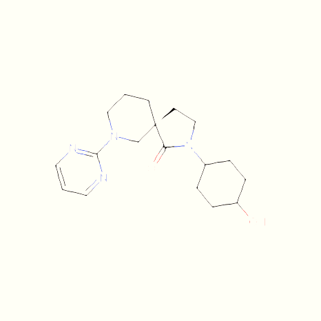 O=C1N(C2CCC(O)CC2)CC[C@@]12CCCN(c1ncccn1)C2